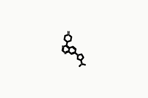 CN(C)C1CCN(c2ccc3c(C4CCNCC4)ncnc3c2)C1